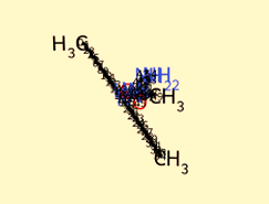 CCCCCCCCCCCCCCCCCN(CCCCCCCCCCCCCCCCC)C(=O)CN(NCCCN)C(=O)C(CCC)NCCCN